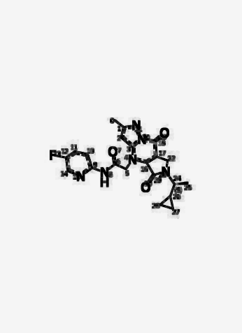 Cc1cc2n(CC(=O)Nc3ccc(F)cn3)c3c(c(=O)n2n1)CN([C@@H](C)C1CC1)C3=O